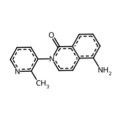 Cc1ncccc1-n1ccc2c(N)cccc2c1=O